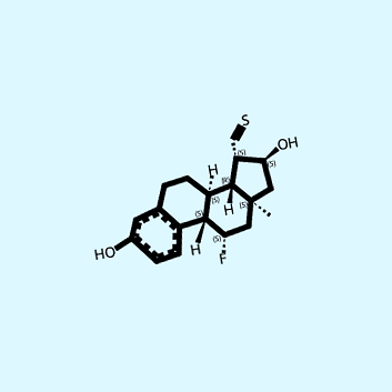 C[C@@]12C[C@H](O)[C@@H](C=S)[C@H]1[C@@H]1CCc3cc(O)ccc3[C@H]1[C@@H](F)C2